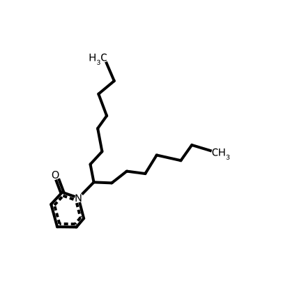 CCCCCCCC(CCCCCCC)n1ccccc1=O